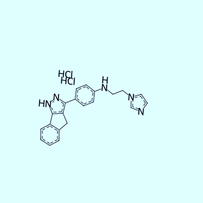 Cl.Cl.c1ccc2c(c1)Cc1c(-c3ccc(NCCn4ccnc4)cc3)n[nH]c1-2